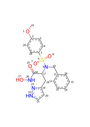 COc1ccc(S(=O)(=O)N(Cc2ccccc2)C(Cc2cc[nH]n2)C(=O)NO)cc1